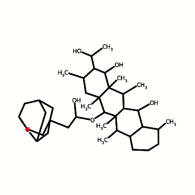 CC(O)C1C(C)CC2(C)C(OC(O)CC34CCC5CC(CC(C5)C3)C4)C3(C)C(C)C4CCCC(C)C4C(O)C3C(C)C2(C)C1O